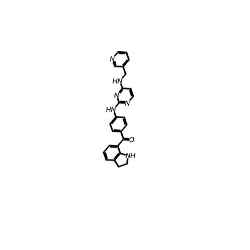 O=C(c1ccc(Nc2nccc(NCc3cccnc3)n2)cc1)c1cccc2c1NCC2